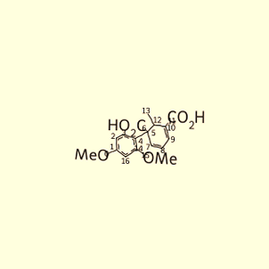 COc1ccc(C2(C(=O)O)C=CC=C(C(=O)O)C2C)c(OC)c1